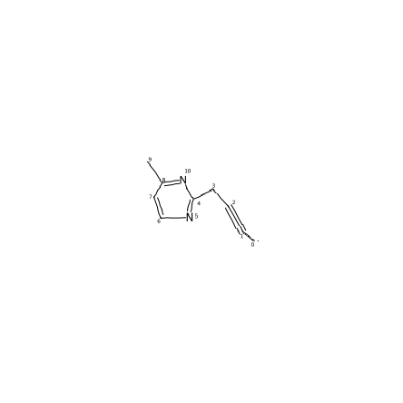 [CH2]C#CCc1nccc(C)n1